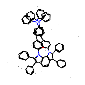 c1ccc(-c2c(-c3ccccc3)n(-c3ccc(-c4ccc(N(c5ccccc5)c5ccccc5)cc4)cc3)c3c2ccc2c(-c4ccccc4)c(-c4ccccc4)n(-c4ccc(-c5ccc(N(c6ccccc6)c6ccccc6)cc5)cc4)c23)cc1